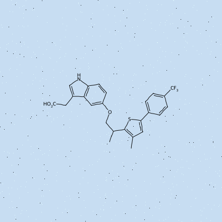 Cc1cc(-c2ccc(C(F)(F)F)cc2)sc1C(C)COc1ccc2[nH]cc(CC(=O)O)c2c1